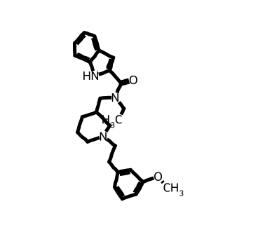 CCN(CC1CCCN(CCc2cccc(OC)c2)C1)C(=O)c1cc2ccccc2[nH]1